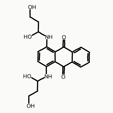 O=C1c2ccccc2C(=O)c2c(NC(O)CCO)ccc(NC(O)CCO)c21